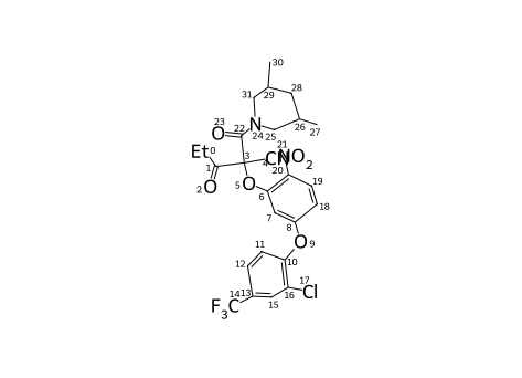 CCC(=O)C(C#N)(Oc1cc(Oc2ccc(C(F)(F)F)cc2Cl)ccc1[N+](=O)[O-])C(=O)N1CC(C)CC(C)C1